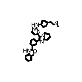 CN(C)CCc1ccc(Nc2nccc(-c3c(-c4cccc(C(=O)Nc5ccccc5F)c4)nc4ccccn34)n2)cc1